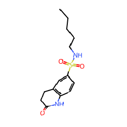 CCCCCNS(=O)(=O)c1ccc2c(c1)CCC(=O)N2